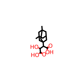 CC12CC3CC(C)(C1)CC(C(C(=O)O)C(O)C(=O)O)(C3)C2